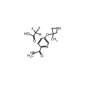 CNC(=O)c1ccc(OC2(C)CNC2)cn1.O=C(O)C(F)(F)F